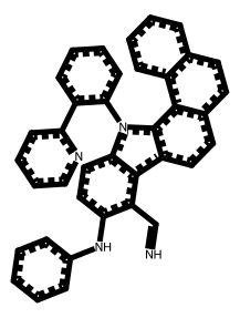 N=Cc1c(Nc2ccccc2)ccc2c1c1ccc3ccc4ccccc4c3c1n2-c1ccccc1-c1ccccn1